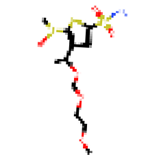 COCCOCOC(C)c1cc(S(N)(=O)=O)sc1[S+](C)[O-]